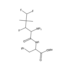 COC(=O)C(CC(C)C)NC(=O)C(N)C(F)C(C)(C)C(F)F